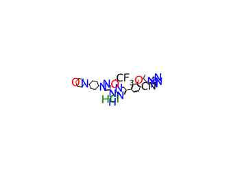 CC(Cn1cnnn1)Oc1cc(-c2cnc(Nc3cn(C4CCC(N5CCOCC5)CC4)nc3OCC(F)(F)F)nc2)ccc1C#N.Cl